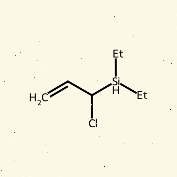 C=CC(Cl)[SiH](CC)CC